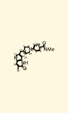 CNC(=O)c1ccc(N2CCN(Cc3cnc4cc(C)c(=O)[nH]c4c3)[C@@H](C)C2)cn1